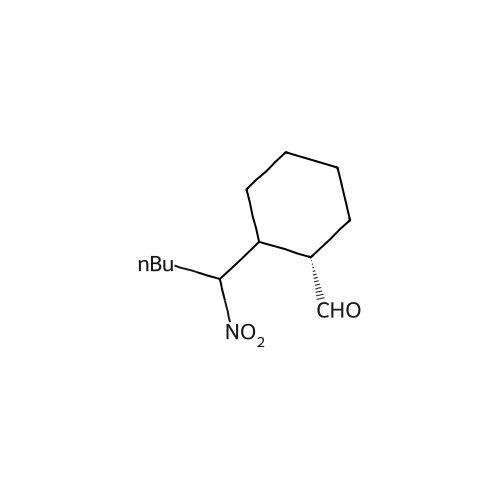 CCCCC(C1CCCC[C@@H]1C=O)[N+](=O)[O-]